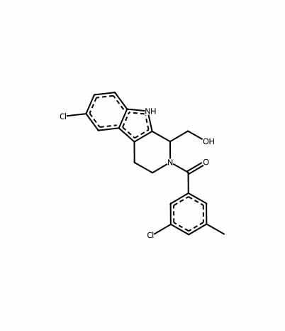 Cc1cc(Cl)cc(C(=O)N2CCc3c([nH]c4ccc(Cl)cc34)C2CO)c1